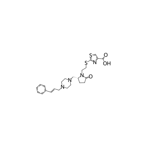 O=C(O)c1csc(SCCN2C(=O)CC[C@@H]2CN2CCN(C/C=C/c3ccccc3)CC2)n1